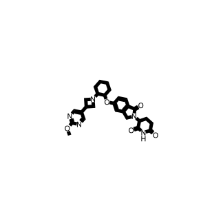 COc1ncc(C2CN(C3CCCCC3Oc3ccc4c(c3)CN(C3CCC(=O)NC3=O)C4=O)C2)cn1